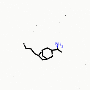 CCCCC1CC2CC(C(C)N)CC1C2